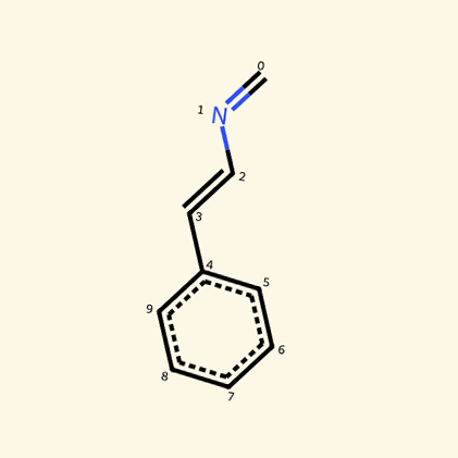 C=NC=Cc1ccccc1